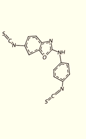 S=C=Nc1ccc(Nc2nc3ccc(N=C=S)cc3o2)cc1